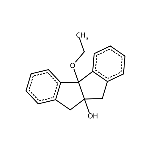 CCOC12c3ccccc3CC1(O)Cc1ccccc12